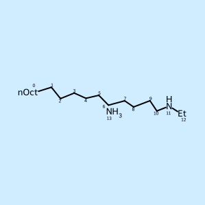 CCCCCCCCCCCCCCCCCCNCC.N